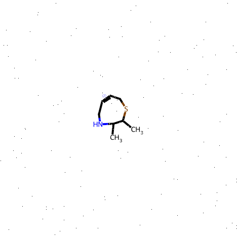 CC1NC/C=C\CSC1C